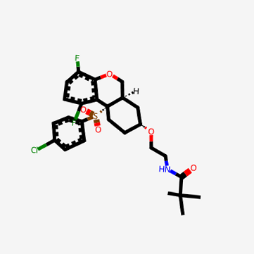 CC(C)(C)C(=O)NCCO[C@@H]1CC[C@@]2(S(=O)(=O)c3ccc(Cl)cc3)c3c(F)ccc(F)c3OC[C@H]2C1